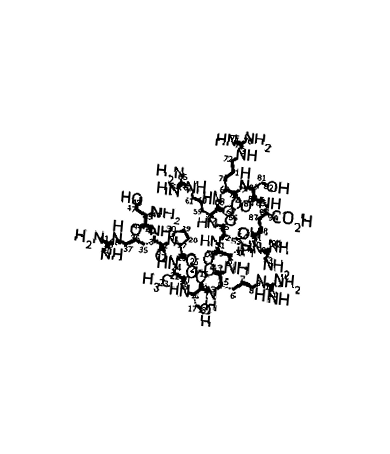 CC(C)[C@H](NC(=O)[C@H](CCCNC(=N)N)NC(=O)[C@H](CO)NC(=O)[C@H](C)NC(=O)[C@@H]1CCCN1C(=O)[C@H](CCCNC(=N)N)NC(=O)[C@@H](N)CO)C(=O)N[C@@H](CO)C(=O)N[C@@H](CCCNC(=N)N)C(=O)N[C@@H](CCCNC(=N)N)C(=O)N[C@@H](CO)C(=O)N[C@@H](CCCNC(=N)N)C(=O)O